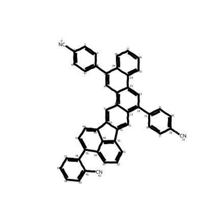 N#Cc1ccc(-c2cc3c4cc5c(cc4c(-c4ccc(C#N)cc4)cc3c3ccccc23)-c2cccc3c(-c4ccccc4C#N)ccc-5c23)cc1